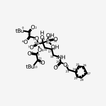 CC(C)(C)C(=O)C(=O)OP(=O)(OC(=O)C(=O)C(C)(C)C)C(O)(CCCNC(=O)OCc1ccccc1)P(=O)(O)O